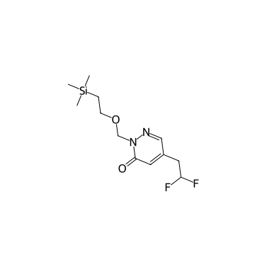 C[Si](C)(C)CCOCn1ncc(CC(F)F)cc1=O